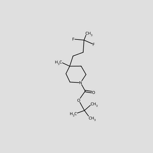 CC(F)(F)CCC1(C)CCN(C(=O)OC(C)(C)C)CC1